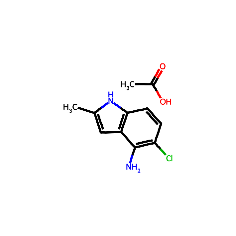 CC(=O)O.Cc1cc2c(N)c(Cl)ccc2[nH]1